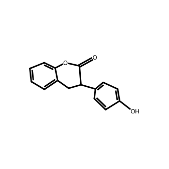 O=C1Oc2ccccc2CC1c1ccc(O)cc1